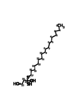 CCCCCCCCCCCCCCCCCCSC(O)(S)CCO